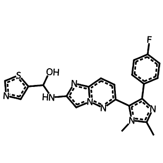 Cc1nc(-c2ccc(F)cc2)c(-c2ccc3nc(NC(O)c4cncs4)cn3n2)n1C